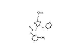 COCCc1nc(OC(=O)Nc2cccc(C)n2)c(Nc2cccnc2)s1